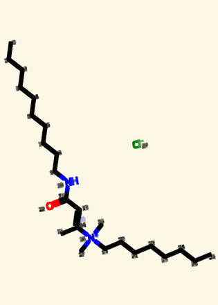 CCCCCCCCCCNC(=O)/C=C(\C)[N+](C)(C)CCCCCCCC.[Cl-]